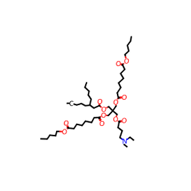 CCCCCOC(=O)CCCCCCC(=O)OCC(COC(=O)CCCCCCC(=O)OCCCCC)(COC(=O)CCCN(CC)CC)COC(=O)CC(CCCCC)CCCCC